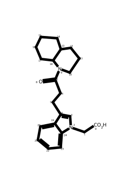 O=C(O)Cn1cc(CCC(=O)N2CCCC3CCCCC32)c2ccccc21